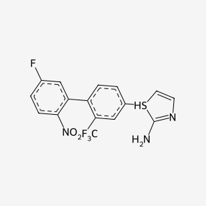 NC1=NC=C[SH]1c1ccc(-c2cc(F)ccc2[N+](=O)[O-])c(C(F)(F)F)c1